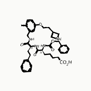 Cc1ccc(OCCC2CNC2)cc1CNC(=O)[C@H](CCc1ccccc1)NC(=O)[C@H](CCCCC(=O)O)NC(=O)OCc1ccccc1